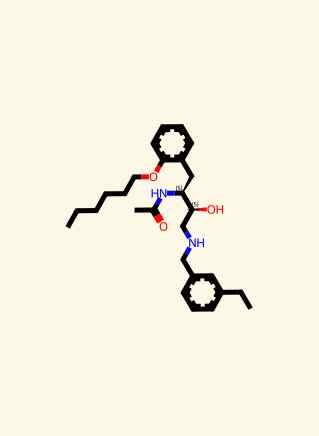 CCCCCCOc1ccccc1C[C@H](NC(C)=O)[C@@H](O)CNCc1cccc(CC)c1